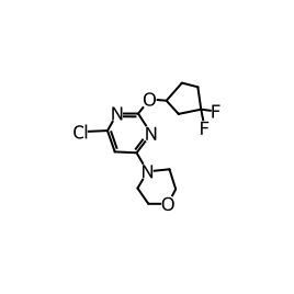 FC1(F)CCC(Oc2nc(Cl)cc(N3CCOCC3)n2)C1